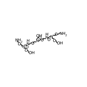 NCCOCCN(CCOCCO)CC(=O)NCCOCCN(CCOCCNC(=O)CN(CCOCCN)CCOCCO)CC(=O)O